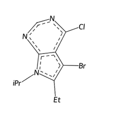 CCc1c(Br)c2c(Cl)ncnc2n1C(C)C